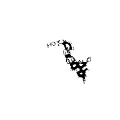 Cc1cc(F)ccc1-c1cc(Cl)nc2cc(O[C@H](C)C(=O)N3CCC[C@H](C(=O)O)C3)ccc12